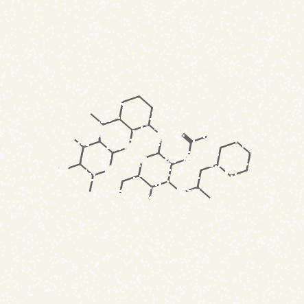 CCC1CCCC(OC2OC(CO)C(O)C(OC(C)CC3CCCCC3)C2NC(C)=O)C1OC1OC(C)C(O)C(O)C1O